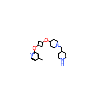 Cc1ccnc(OC2CC(OC3CCN(CC4CCNCC4)CC3)C2)c1